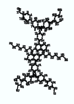 C=Cc1ccc(-c2ccc(N(c3ccc(-c4cc(CCCCCCCC)c(-c5c(CCCCCCCC)cc(-c6ccc(N(c7ccc(-c8ccc(C=C)cc8)cc7)c7ccc(C(CC)CCC)cc7)cc6)c6ccccc56)c5ccccc45)cc3)c3ccc(C(CC)CCC)cc3)cc2)cc1